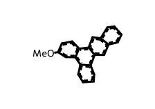 COc1ccc2c(c1)c1ccccc1c1cc3ccccc3cc21